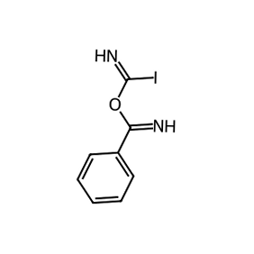 N=C(I)OC(=N)c1ccccc1